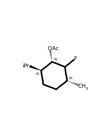 CC(=O)O[C@@H]1C(F)[C@H](C)CC[C@H]1C(C)C